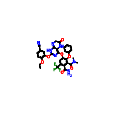 CCOc1ccc(C#N)cc1OC1=NC(Oc2cc(C(F)(F)F)c(C(N)=O)c(C(=O)N(C)C)c2Oc2ccccc2)=C2NC(=O)CN=C2N1